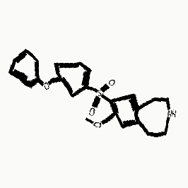 COc1cc2c(cc1S(=O)(=O)c1cccc(Oc3ccccc3)c1)CCNCC2